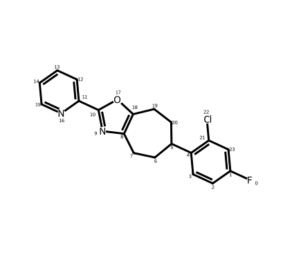 Fc1ccc(C2CCc3nc(-c4ccccn4)oc3CC2)c(Cl)c1